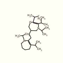 CC(C)C1=C(CCC2COC(C(C)C)=C(C(C)C)N(C(C)C)C2)N(C(C)C)CCCC1